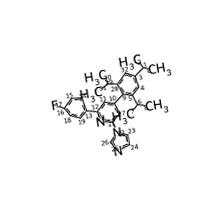 CC(C)c1cc(C(C)C)c(-c2cc(-c3ccc(F)cc3)nc(-n3ccnc3)c2)c(C(C)C)c1